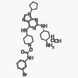 Cl.Cl.N[C@H]1CC[C@H](Nc2nc(NC3CCN(OC(=O)Nc4cccc(Br)c4)CC3)c3ncn(C4CCCC4)c3n2)CC1